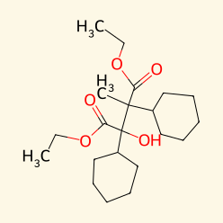 CCOC(=O)C(C)(C1CCCCC1)C(O)(C(=O)OCC)C1CCCCC1